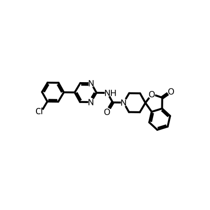 O=C1OC2(CCN(C(=O)Nc3ncc(-c4cccc(Cl)c4)cn3)CC2)c2ccccc21